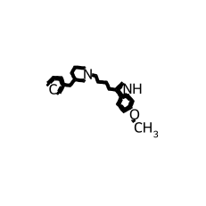 CCOc1ccc2c(CCCCN3CCCC(Cc4ccccc4)C3)c[nH]c2c1